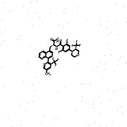 Cc1cnc(-c2ccc(C[C@H](NC(=O)c3c(F)cc(N4CCOC[C@@H]4C(F)(F)F)cc3F)C(=O)O)c3cccnc23)c(C(F)(F)F)c1